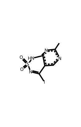 Cc1ncc2c(n1)NS(=O)(=O)N=C2I